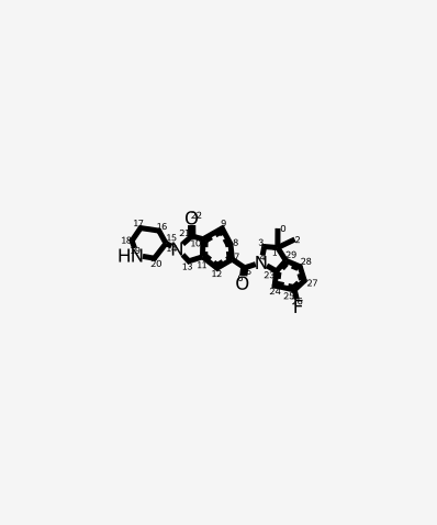 CC1(C)CN(C(=O)c2ccc3c(c2)CN(C2CCCNC2)C3=O)c2cc(F)ccc21